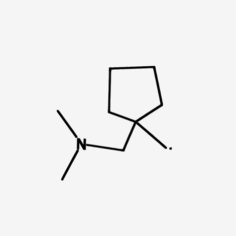 [CH2]C1(CN(C)C)CCCC1